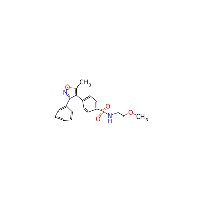 COCCNS(=O)(=O)c1ccc(-c2c(-c3ccccc3)noc2C)cc1